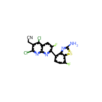 N#CCc1c(Cl)nc2nc(-c3ccc(F)c4sc(N)nc34)c(F)cc2c1Cl